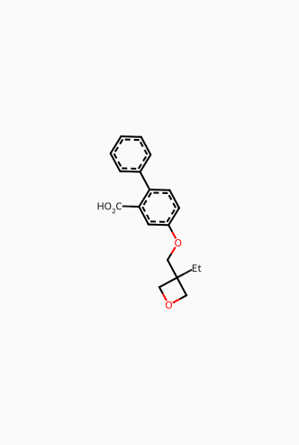 CCC1(COc2ccc(-c3ccccc3)c(C(=O)O)c2)COC1